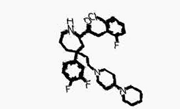 O=C(Cc1c(F)cccc1Cl)C1CC(CCN2CCC(N3CCCCC3)CC2)(c2ccc(F)c(F)c2)CCCN1